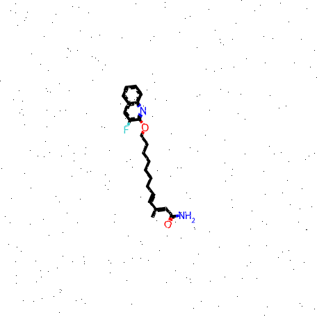 CC(C=CCCCCCCCOc1nc2ccccc2cc1F)=CC(N)=O